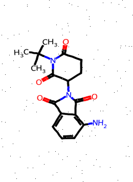 CC(C)(C)N1C(=O)CCC(N2C(=O)c3cccc(N)c3C2=O)C1=O